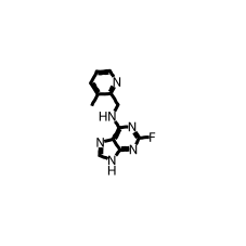 Cc1cccnc1CNc1nc(F)nc2[nH]cnc12